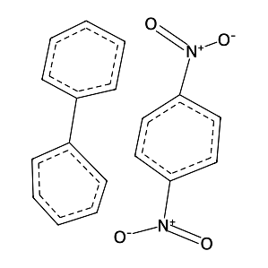 O=[N+]([O-])c1ccc([N+](=O)[O-])cc1.c1ccc(-c2ccccc2)cc1